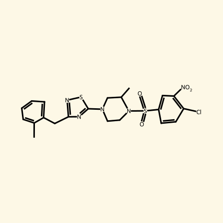 Cc1ccccc1Cc1nsc(N2CCN(S(=O)(=O)c3ccc(Cl)c([N+](=O)[O-])c3)C(C)C2)n1